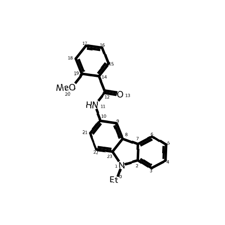 CCn1c2ccccc2c2cc(NC(=O)c3ccccc3OC)ccc21